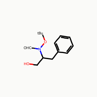 CC(C)(C)ON(C=O)C(CO)Cc1ccccc1